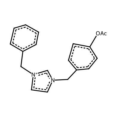 CC(=O)Oc1ccc(Cn2cc[n+](Cc3ccccc3)c2)cc1